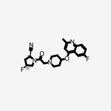 Cc1cc(OC2CCN(CC(=O)N3C[C@@H](F)C[C@H]3C#N)CC2)c2cc(F)ccc2n1